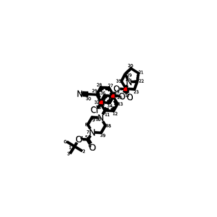 CC(C)(C)OC(=O)N1CCN(c2ccc(OC(=O)N3C4CCC3CC(Oc3ccc(C#N)c(Cl)c3)C4)cc2)CC1